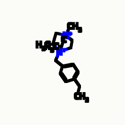 CCc1ccc(C[N+]23CC[N+](C)(CC2C)CC3C)cc1